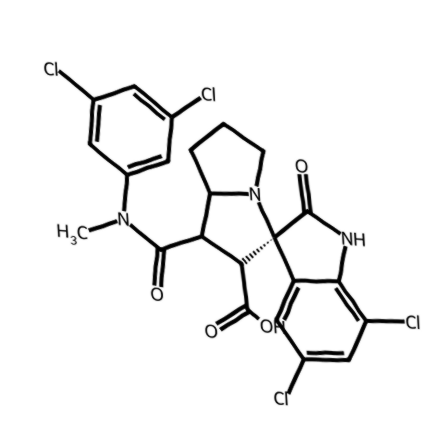 CN(C(=O)C1C2CCCN2[C@]2(C(=O)Nc3c(Cl)cc(Cl)cc32)C1C(=O)O)c1cc(Cl)cc(Cl)c1